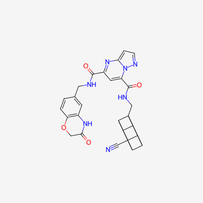 N#CC12C3C4C1C1C2C3C41CNC(=O)c1cc(C(=O)NCc2ccc3c(c2)NC(=O)CO3)nc2ccnn12